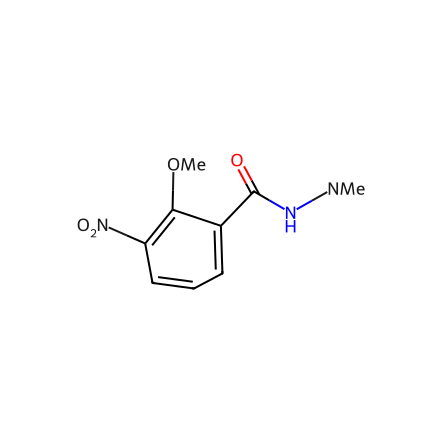 CNNC(=O)c1cccc([N+](=O)[O-])c1OC